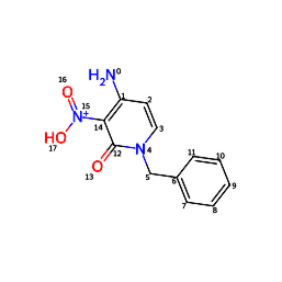 Nc1ccn(Cc2ccccc2)c(=O)c1[N+](=O)O